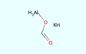 O=C[O][AlH2].[KH]